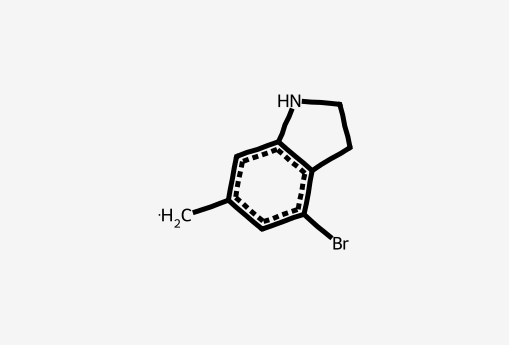 [CH2]c1cc(Br)c2c(c1)NCC2